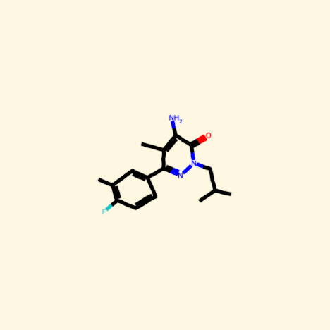 Cc1cc(-c2nn(CC(C)C)c(=O)c(N)c2C)ccc1F